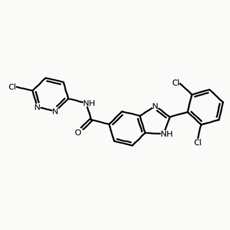 O=C(Nc1ccc(Cl)nn1)c1ccc2[nH]c(-c3c(Cl)cccc3Cl)nc2c1